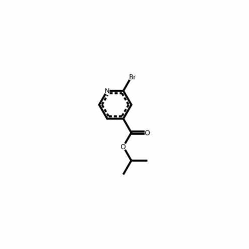 CC(C)OC(=O)c1ccnc(Br)c1